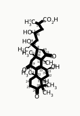 CC(C[C@@H](O)C[C@](C)(O)[C@H]1CC(=O)[C@@]2(C)C3=C(C(=O)C[C@]12C)[C@@]1(C)CCC(=O)C(C)(C)[C@@H]1C[C@@H]3O)C(=O)O